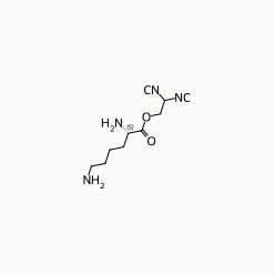 [C-]#[N+]C(COC(=O)[C@@H](N)CCCCN)[N+]#[C-]